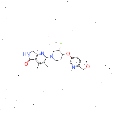 Cc1c(N2CCC(Oc3cnc4c(c3)COC4)[C@@H](F)C2)nc2c(c1C)C(=O)NC2